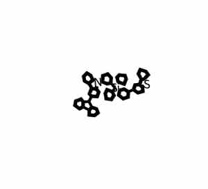 c1ccc([Si](c2ccccc2)(c2cccc(-c3ccc4sc5ccccc5c4c3)c2)c2cccc(-n3c4ccccc4c4cc(C5c6ccccc6-c6ccccc65)ccc43)c2)cc1